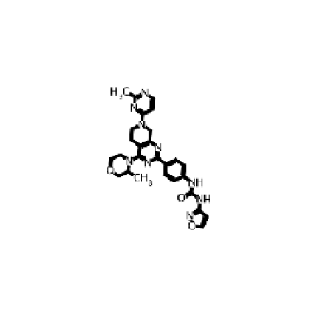 Cc1nccc(N2CCc3c(nc(-c4ccc(NC(=O)Nc5ccon5)cc4)nc3N3CCOCC3C)C2)n1